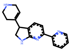 C1=C(C2CNc3nc(-c4ccccn4)ccc32)CCNC1